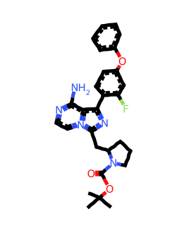 CC(C)(C)OC(=O)N1CCCC1Cc1nc(-c2ccc(Oc3ccccc3)cc2F)c2c(N)nccn12